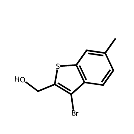 Cc1ccc2c(Br)c(CO)sc2c1